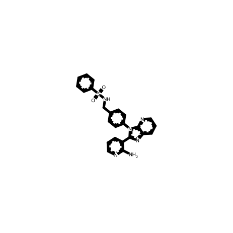 Nc1ncccc1-c1nc2cccnc2n1-c1ccc(CNS(=O)(=O)c2ccccc2)cc1